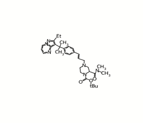 CCc1nn2cccnc2c1C(C)(C)c1ccc(C=CCN2CCN(C(=O)OC(C)(C)C)C(C(=O)N(C)C)C2)cc1